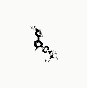 Cc1cc(-c2ccc(F)c(N3CCN(C(=O)OC(C)(C)C)CC3)c2)on1